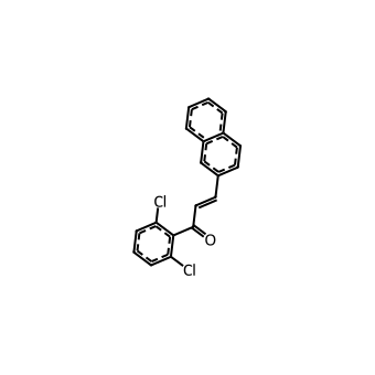 O=C(C=Cc1ccc2ccccc2c1)c1c(Cl)cccc1Cl